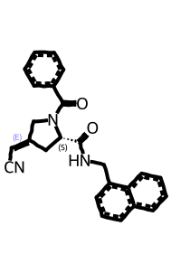 N#C/C=C1\C[C@@H](C(=O)NCc2cccc3ccccc23)N(C(=O)c2ccccc2)C1